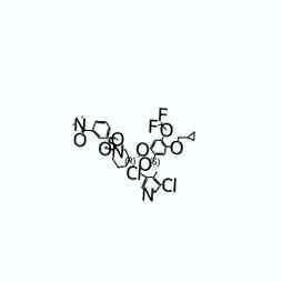 CN(C)C(=O)c1cccc(S(=O)(=O)N2CCC[C@@H](C(=O)O[C@@H](Cc3c(Cl)cncc3Cl)c3ccc(OC(F)F)c(OCC4CC4)c3)C2)c1